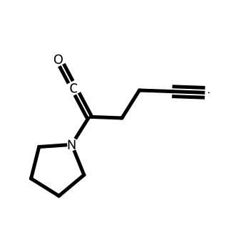 [C]#CCCC(=C=O)N1CCCC1